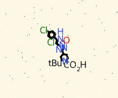 CC(C)(C)C1CC(c2nc3cc(-c4ccc(Cl)cc4Cl)[nH]c(=O)n3n2)CCN1C(=O)O